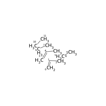 C=CC.C=CC.CC.CC.CC